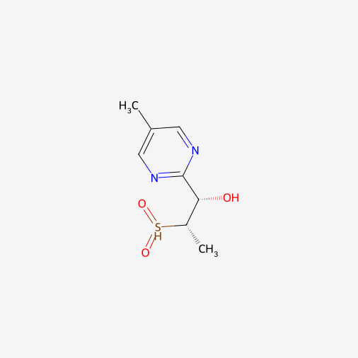 Cc1cnc([C@H](O)[C@H](C)[SH](=O)=O)nc1